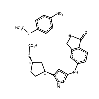 O=C(O)O[C@@H]1CC[C@H](c2cc(Nc3ccc4c(c3)CNC4=O)n[nH]2)C1.O=C(O)Oc1ccc([N+](=O)[O-])cc1